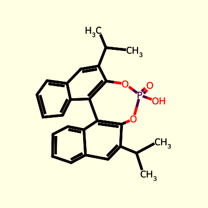 CC(C)c1cc2ccccc2c2c1OP(=O)(O)Oc1c(C(C)C)cc3ccccc3c1-2